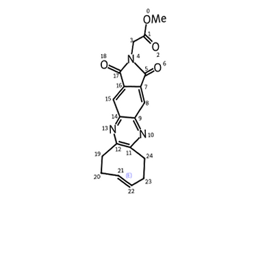 COC(=O)CN1C(=O)c2cc3nc4c(nc3cc2C1=O)CC/C=C/CC4